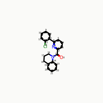 O=C(c1cccc(-c2ccccc2Cl)n1)N1CCCc2ccccc21